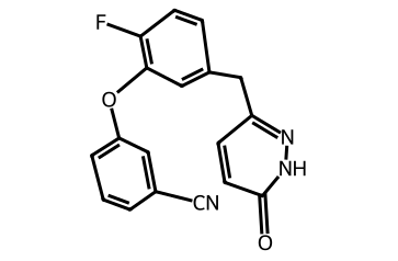 N#Cc1cccc(Oc2cc(Cc3ccc(=O)[nH]n3)ccc2F)c1